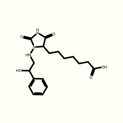 O=C(O)CCCCCCC1C(=O)NC(=O)N1NCC(O)c1ccccc1